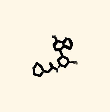 N#Cc1ccc(N2C[C@@H](NC(=O)CN3CCOCC3)C[C@@H](C(F)(F)F)C2)c2cccnc12